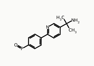 CC(C)(N)c1ccc(-c2ccc(P=O)cc2)nc1